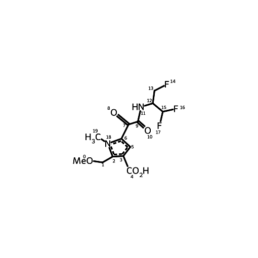 COCc1c(C(=O)O)cc(C(=O)C(=O)NC(CF)C(F)F)n1C